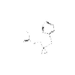 CC(C)(C)OC(=O)NNC1(Cc2ccccc2)CC1